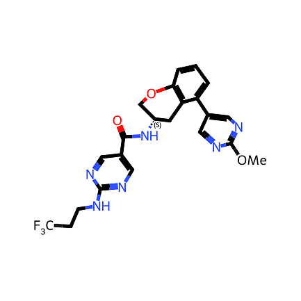 COc1ncc(-c2cccc3c2C[C@H](NC(=O)c2cnc(NCCC(F)(F)F)nc2)CO3)cn1